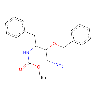 CC(C)(C)OC(=O)NC(Cc1ccccc1)C(CN)OCc1ccccc1